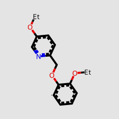 CCOc1ccc(COc2[c]cccc2OCC)nc1